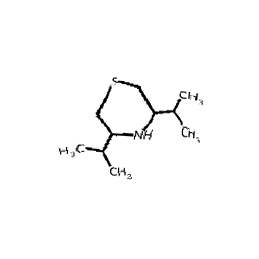 CC(C)C1CSCC(C(C)C)N1